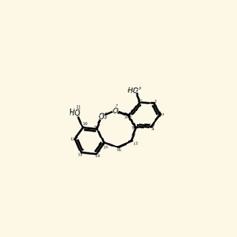 Oc1cccc2c1OOc1c(O)cccc1CC2